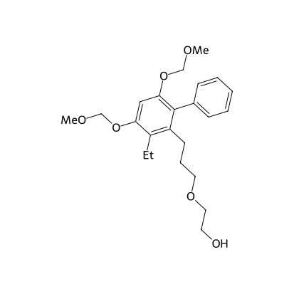 CCc1c(OCOC)cc(OCOC)c(-c2ccccc2)c1CCCOCCO